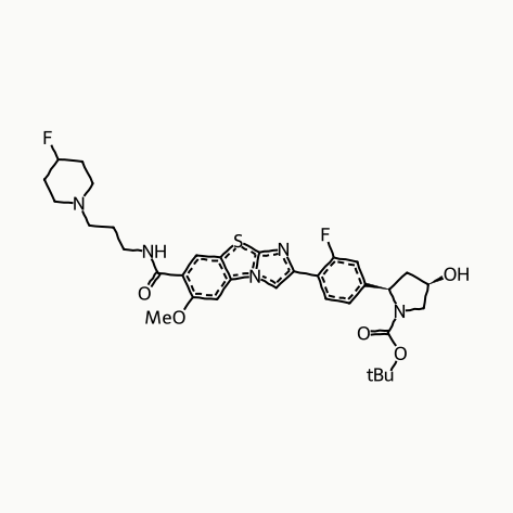 COc1cc2c(cc1C(=O)NCCCN1CCC(F)CC1)sc1nc(-c3ccc([C@H]4C[C@@H](O)CN4C(=O)OC(C)(C)C)cc3F)cn12